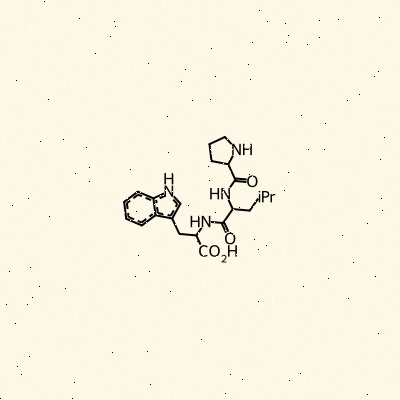 CC(C)CC(NC(=O)C1CCCN1)C(=O)NC(Cc1c[nH]c2ccccc12)C(=O)O